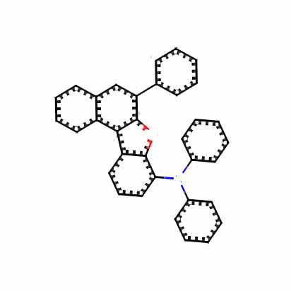 c1ccc(-c2cc3ccccc3c3c2oc2c(N(c4ccccc4)c4ccccc4)cccc23)cc1